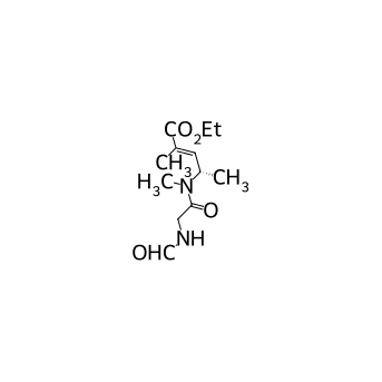 CCOC(=O)/C(C)=C/[C@H](C)N(C)C(=O)CNC=O